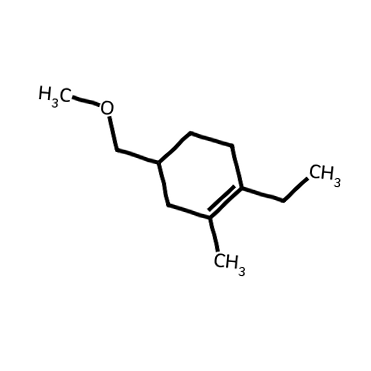 CCC1=C(C)CC(COC)CC1